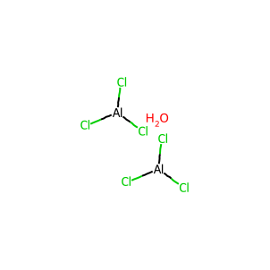 O.[Cl][Al]([Cl])[Cl].[Cl][Al]([Cl])[Cl]